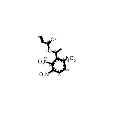 C=CC(=O)OC(C)c1c([N+](=O)[O-])ccc([N+](=O)[O-])c1[N+](=O)[O-]